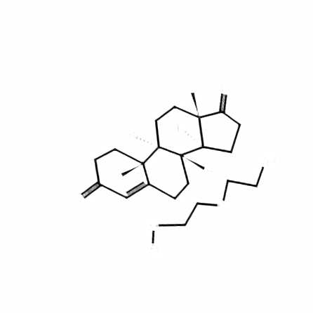 CCOCCOCCO.C[C@]12CCC(=O)C=C1CC[C@@H]1[C@@H]2CC[C@]2(C)C(=O)CC[C@@H]12